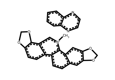 C[n+]1cc2c3c(ccc2c2ccc4cc5c(cc4c21)OCO5)OCO3.c1ccc2nccnc2c1